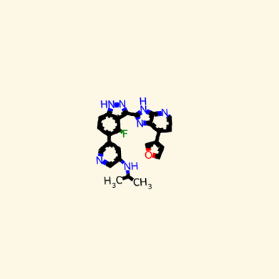 CC(C)Nc1cncc(-c2ccc3[nH]nc(-c4nc5c(-c6ccoc6)ccnc5[nH]4)c3c2F)c1